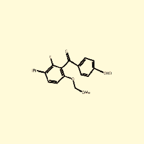 COCOc1ccc(C(C)C)c(F)c1C(=O)c1ccc(C=O)cc1